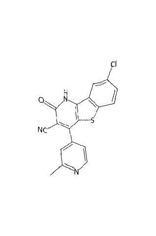 Cc1cc(-c2c(C#N)c(=O)[nH]c3c2sc2ccc(Cl)cc23)ccn1